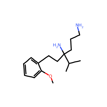 COc1ccccc1CCC(N)(CCCN)C(C)C